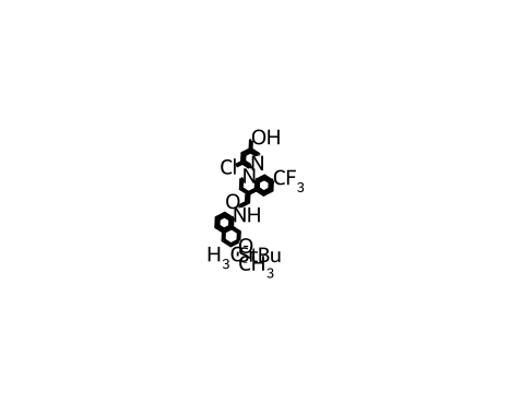 CC(C)(C)[Si](C)(C)OC1CCc2cccc(NC(=O)C=C3CCN(c4ncc(CO)cc4Cl)c4cc(C(F)(F)F)ccc43)c2C1